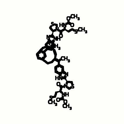 COC(=O)N[C@@H](CCSC)C(=O)N1CSC[C@H]1c1nc2cc(/C(C)=C3/C=C\[C@H](C)CCc4ccc(cc4-c4ccc5[nH]c([C@@H]6CSCN6C(=O)[C@H](CCSC)NC(=O)OC)nc5c4)CC3)ccc2[nH]1